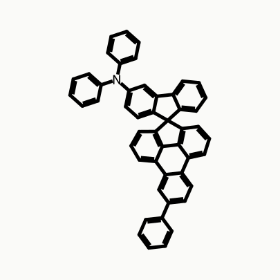 c1ccc(-c2ccc3c(c2)c2cccc4c2c2c(cccc32)C42c3ccccc3-c3cc(N(c4ccccc4)c4ccccc4)ccc32)cc1